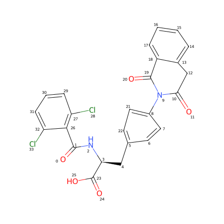 O=C(N[C@@H](Cc1ccc(N2C(=O)Cc3ccccc3C2=O)cc1)C(=O)O)c1c(Cl)cccc1Cl